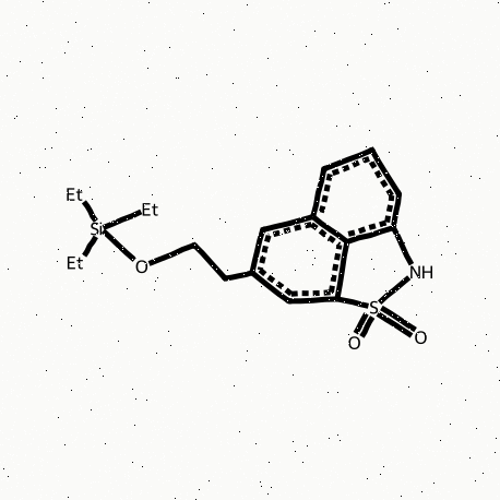 CC[Si](CC)(CC)OCCc1cc2c3c(cccc3c1)NS2(=O)=O